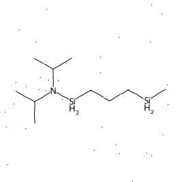 C[SiH2]CCC[SiH2]N(C(C)C)C(C)C